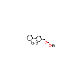 CCOCOCc1ccc(-c2ccccc2C=O)cc1